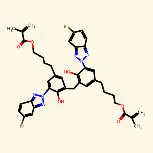 C=C(C)C(=O)OCCCCc1cc(Cc2cc(CCCCOC(=O)C(=C)C)cc(-n3nc4ccc(Br)cc4n3)c2O)c(O)c(-n2nc3ccc(Br)cc3n2)c1